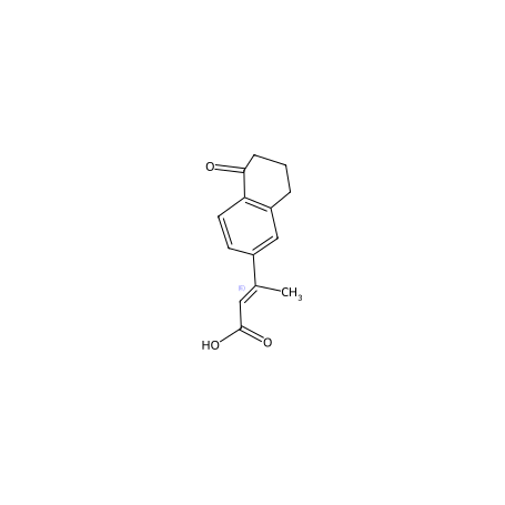 C/C(=C\C(=O)O)c1ccc2c(c1)CCCC2=O